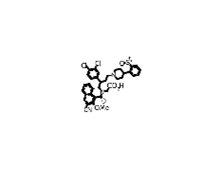 COc1c(C#N)cc2ccccc2c1C(=O)N(CC(=O)O)CC(CCN1CCC(c2ccccc2[S@+](C)[O-])CC1)c1ccc(Cl)c(Cl)c1